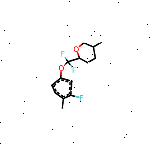 Cc1ccc(OC(F)(F)C2CCC(C)CO2)cc1F